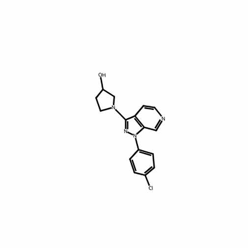 OC1CCN(c2nn(-c3ccc(Cl)cc3)c3cnccc23)C1